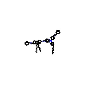 CCCCCCc1ccc(N(c2ccc(/C=C/c3ccccc3)cc2)c2ccc(/C=C/c3ccc4c(c3)C(CCCCCC)(CCCCCC)c3cc(/C=C/c5ccccc5)ccc3-4)cc2)cc1